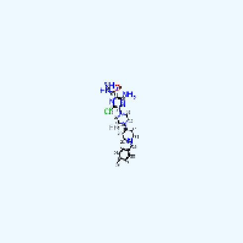 CC[C@H]1CN(c2nc(N)c(C(=O)NN)nc2Cl)CCN1C1CCN(Cc2ccc(C)cc2)CC1